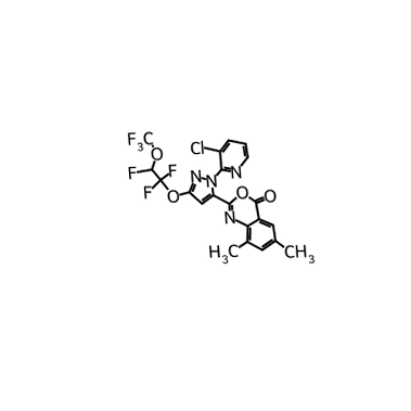 Cc1cc(C)c2nc(-c3cc(OC(F)(F)C(F)OC(F)(F)F)nn3-c3ncccc3Cl)oc(=O)c2c1